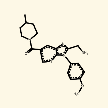 COc1ccc(-n2c(CN)nc3cc(C(=O)N4CCC(F)CC4)cnc32)cc1